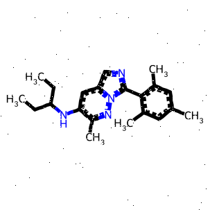 CCC(CC)Nc1cc2cnc(-c3c(C)cc(C)cc3C)n2nc1C